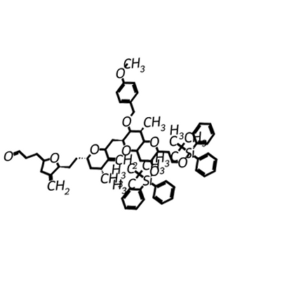 C=C1C(C[C@@H]2OC3CC(O[Si](c4ccccc4)(c4ccccc4)C(C)(C)C)C(CCO[Si](c4ccccc4)(c4ccccc4)C(C)(C)C)OC3[C@H](C)C2OCc2ccc(OC)cc2)O[C@@H](CC[C@@H]2OC(CCC=O)CC2=C)C[C@H]1C